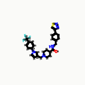 O=C(NCc1ccc(-c2csnn2)cc1)C1CCN(Cc2ccn(-c3ccc(C(F)(F)F)cc3)c2)CC1